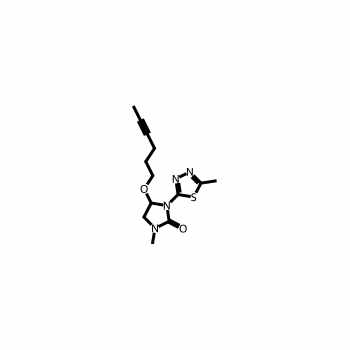 CC#CCCCOC1CN(C)C(=O)N1c1nnc(C)s1